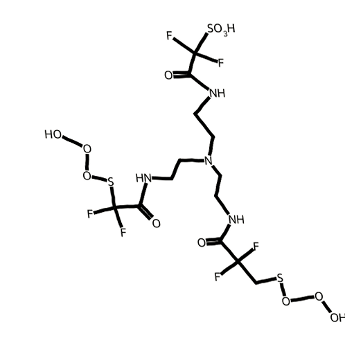 O=C(NCCN(CCNC(=O)C(F)(F)SOOO)CCNC(=O)C(F)(F)S(=O)(=O)O)C(F)(F)CSOOO